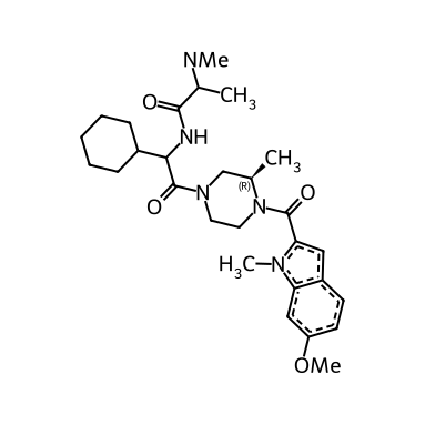 CNC(C)C(=O)NC(C(=O)N1CCN(C(=O)c2cc3ccc(OC)cc3n2C)[C@H](C)C1)C1CCCCC1